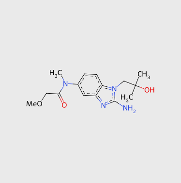 COCC(=O)N(C)c1ccc2c(c1)nc(N)n2CC(C)(C)O